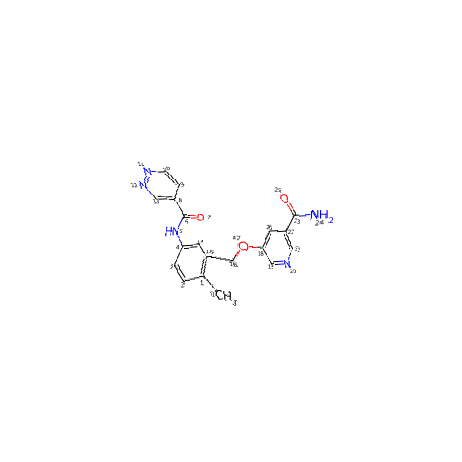 Cc1ccc(NC(=O)c2ccnnc2)cc1COc1cncc(C(N)=O)c1